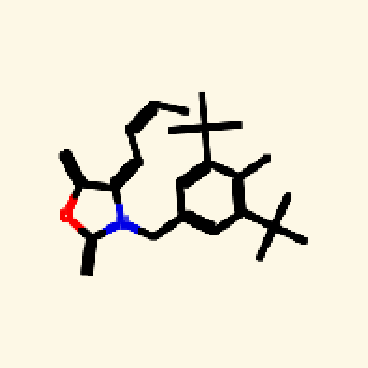 C=C1OC(=C)N(Cc2cc(C(C)(C)C)c(C)c(C(C)(C)C)c2)/C1=C/C=C\C